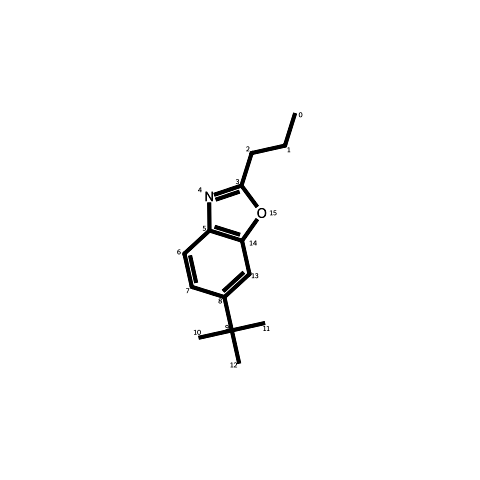 CCCc1nc2ccc(C(C)(C)C)cc2o1